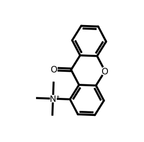 C[N+](C)(C)c1cccc2oc3ccccc3c(=O)c12